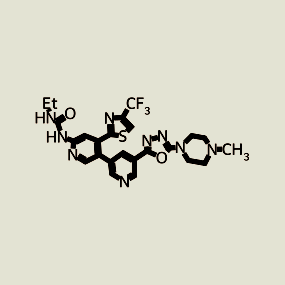 CCNC(=O)Nc1cc(-c2nc(C(F)(F)F)cs2)c(-c2cncc(-c3nnc(N4CCN(C)CC4)o3)c2)cn1